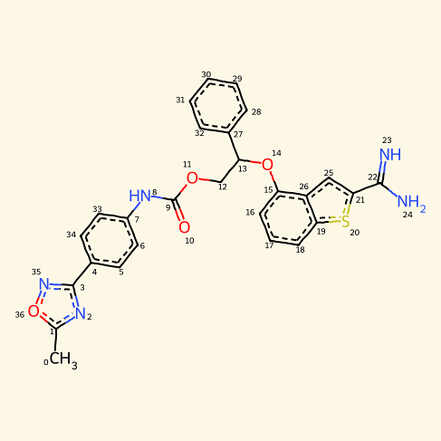 Cc1nc(-c2ccc(NC(=O)OCC(Oc3cccc4sc(C(=N)N)cc34)c3ccccc3)cc2)no1